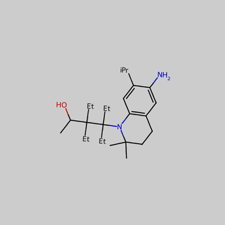 CCC(CC)(C(C)O)C(CC)(CC)N1c2cc(C(C)C)c(N)cc2CCC1(C)C